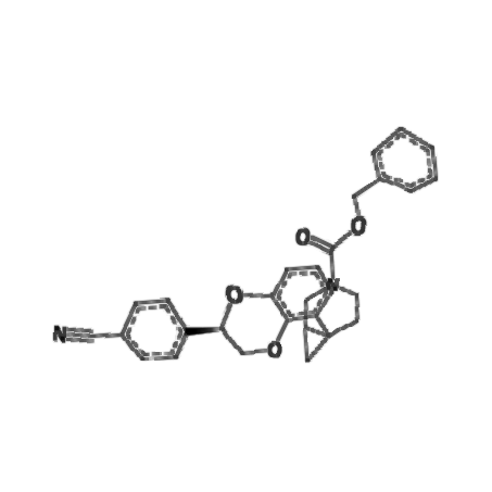 N#Cc1ccc([C@@H]2COc3c(cccc3C34CCN(C(=O)OCc5ccccc5)CC3C4)O2)cc1